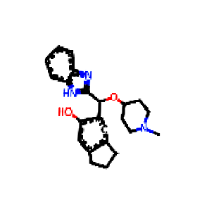 CN1CCC(OC(c2nc3ccccc3[nH]2)c2cc3c(cc2O)CCC3)CC1